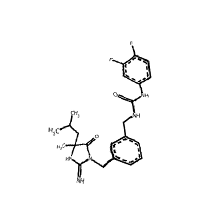 CC(C)CC1(C)NC(=N)N(Cc2cccc(CNC(=O)Nc3ccc(F)c(F)c3)c2)C1=O